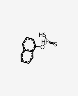 S=[PH](S)Oc1cccc2ccccc12